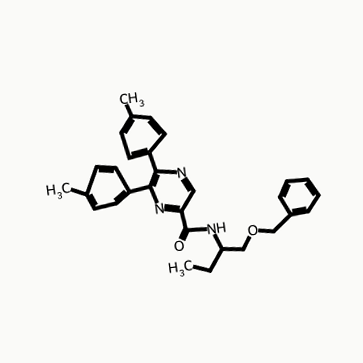 CCC(COCc1ccccc1)NC(=O)c1cnc(-c2ccc(C)cc2)c(-c2ccc(C)cc2)n1